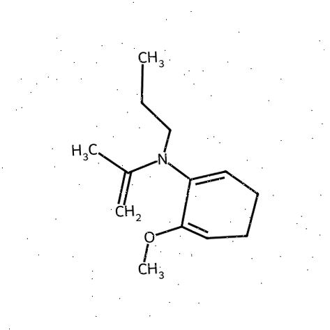 C=C(C)N(CCC)C1=CCCC=C1OC